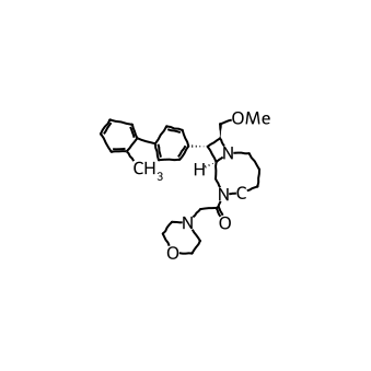 COC[C@@H]1[C@@H](c2ccc(-c3ccccc3C)cc2)[C@@H]2CN(C(=O)CN3CCOCC3)CCCCN12